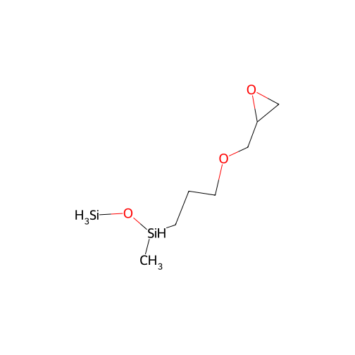 C[SiH](CCCOCC1CO1)O[SiH3]